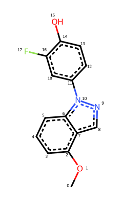 COc1cccc2c1cnn2-c1ccc(O)c(F)c1